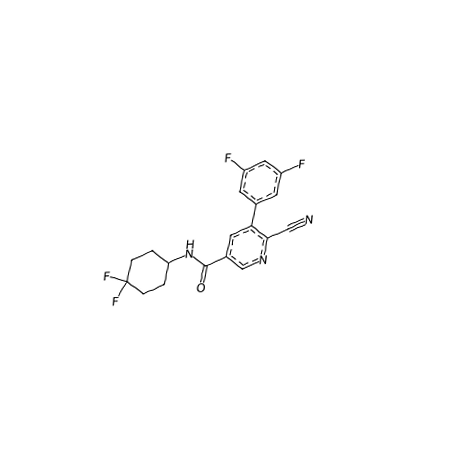 N#Cc1ncc(C(=O)NC2CCC(F)(F)CC2)cc1-c1cc(F)cc(F)c1